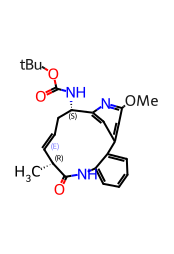 COc1cc2cc(n1)[C@@H](NC(=O)OC(C)(C)C)C/C=C/[C@@H](C)C(=O)Nc1ccccc1-2